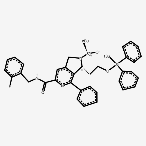 CCCC[S@@+]([O-])N1Cc2cc(C(=O)NCc3ccccc3F)nc(-c3ccccc3)c2[C@H]1CCO[Si](c1ccccc1)(c1ccccc1)C(C)(C)C